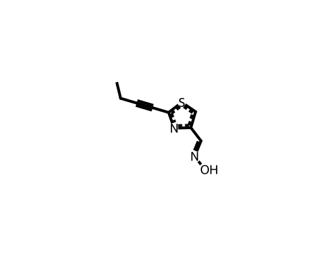 CCC#Cc1nc(/C=N/O)cs1